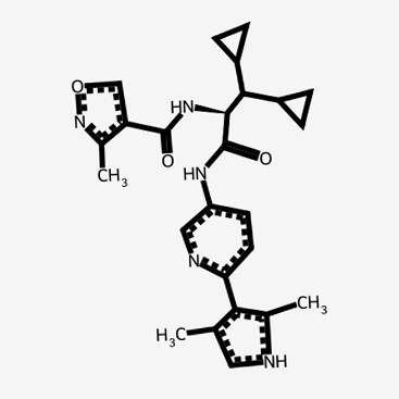 Cc1c[nH]c(C)c1-c1ccc(NC(=O)[C@@H](NC(=O)c2conc2C)C(C2CC2)C2CC2)cn1